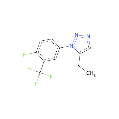 CCc1[c]nnn1-c1ccc(F)c(C(F)(F)F)c1